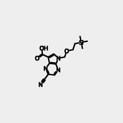 C[Si](C)(C)CCOCn1cc(C(=O)O)c2nc(C#N)cnc21